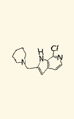 Clc1nccc2cc(CN3CCCCC3)[nH]c12